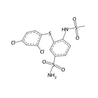 CS(=O)(=O)Nc1ccc(S(N)(=O)=O)cc1Sc1ccc(Cl)cc1Cl